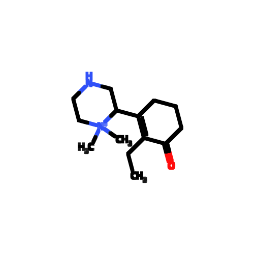 CCC1=C(C2CNCC[N+]2(C)C)CCCC1=O